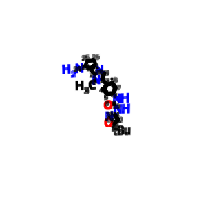 CN1C(c2ccc(NC(=O)Nc3cc(C(C)(C)C)on3)cc2)=CN2C3=C(C(N)C=C3)C12